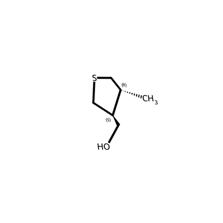 C[C@H]1CSC[C@@H]1CO